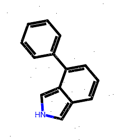 c1ccc(-c2cccc3c[nH]cc23)cc1